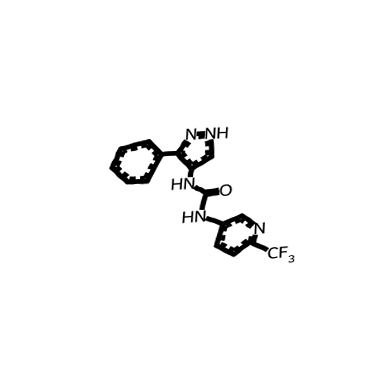 O=C(Nc1ccc(C(F)(F)F)nc1)Nc1c[nH]nc1-c1ccccc1